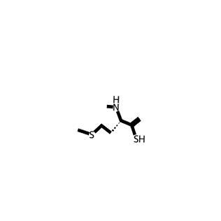 C=C(S)[C@H](CCSC)NC